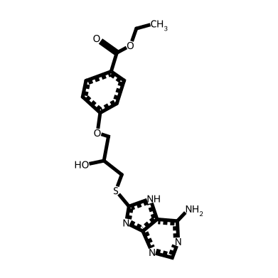 CCOC(=O)c1ccc(OCC(O)CSc2nc3ncnc(N)c3[nH]2)cc1